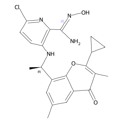 Cc1cc([C@@H](C)Nc2ccc(Cl)nc2/C(N)=N/O)c2oc(C3CC3)c(C)c(=O)c2c1